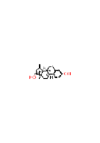 C=C1C[C@H](O)[C@@]2(C)CC[C@@H]3c4ccc(O)cc4CC[C@H]3[C@H]12